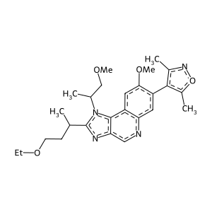 CCOCCC(C)c1nc2cnc3cc(-c4c(C)noc4C)c(OC)cc3c2n1C(C)COC